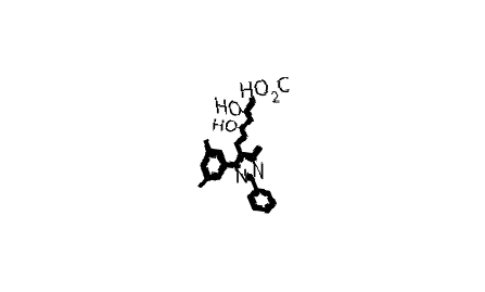 Cc1cc(C)cc(-c2nc(-c3ccccc3)nc(C)c2/C=C/[C@H](O)C[C@H](O)CC(=O)O)c1